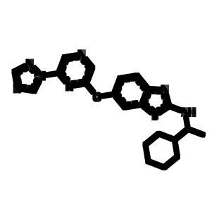 CC(Nc1nc2ccc(Oc3cncc(-n4cncn4)n3)cc2s1)C1CCCCC1